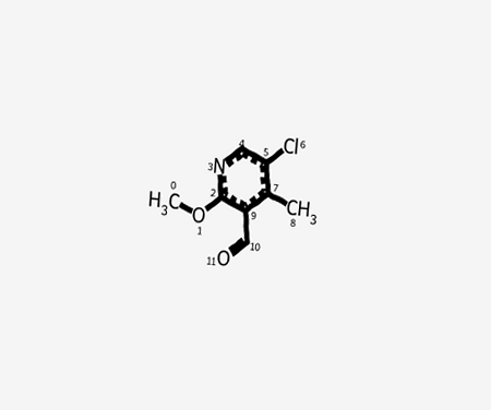 COc1ncc(Cl)c(C)c1C=O